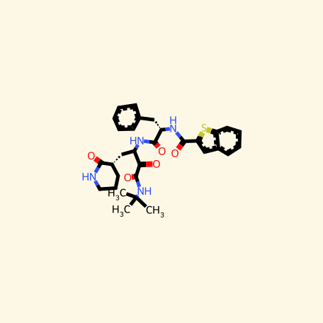 CC(C)(C)NC(=O)C(=O)C(C[C@@H]1CCCNC1=O)NC(=O)[C@H](Cc1ccccc1)NC(=O)c1cc2ccccc2s1